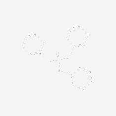 O=P(Nc1ccncc1)(Oc1ccccc1)Oc1ccccc1